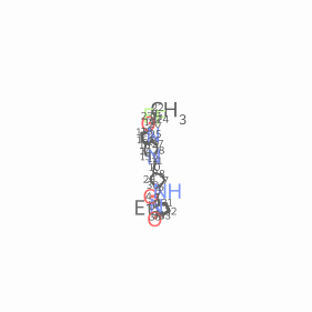 CCn1c(C(=O)N[C@H]2CC[C@H](CCN3CCc4ccc(OCC(C)(F)F)nc4CC3)CC2)cccc1=O